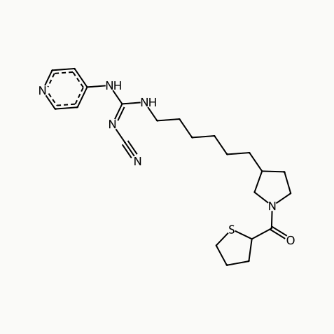 N#CN=C(NCCCCCCC1CCN(C(=O)C2CCCS2)C1)Nc1ccncc1